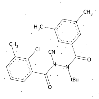 Cc1cc(C)cc(C(=O)N(N(C#N)C(=O)c2cccc(C)c2Cl)C(C)(C)C)c1